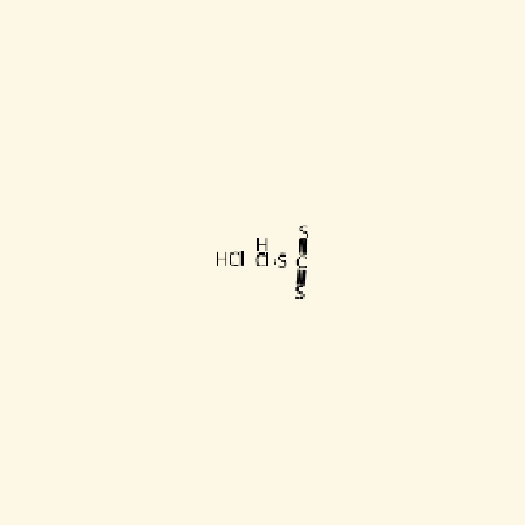 Cl.Cl.S=C=S.[S]